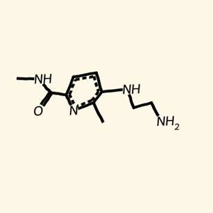 CNC(=O)c1ccc(NCCN)c(C)n1